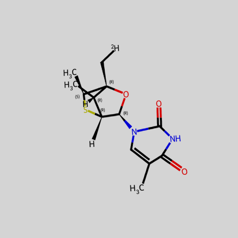 [2H]C[C@]12O[C@@H](n3cc(C)c(=O)[nH]c3=O)[C@H](S[C@H]1C)[C@@H]2C